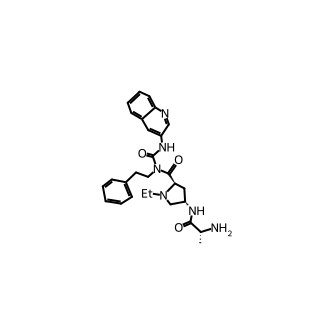 CCN1C[C@@H](NC(=O)[C@@H](C)N)C[C@@H]1C(=O)N(CCc1ccccc1)C(=O)Nc1cnc2ccccc2c1